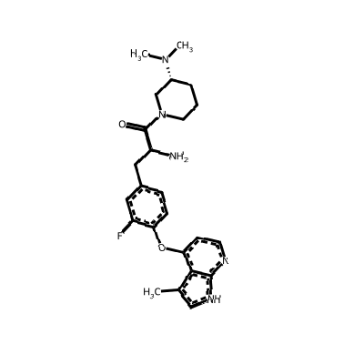 Cc1c[nH]c2nccc(Oc3ccc(CC(N)C(=O)N4CCC[C@@H](N(C)C)C4)cc3F)c12